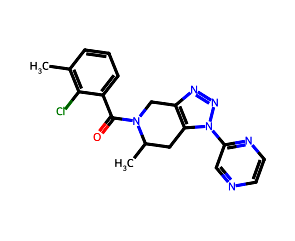 Cc1cccc(C(=O)N2Cc3nnn(-c4cnccn4)c3CC2C)c1Cl